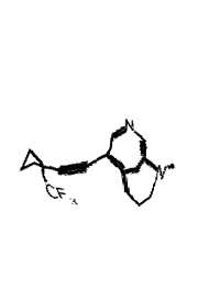 CN1CCCc2c(C#CC3(C(F)(F)F)CC3)cncc21